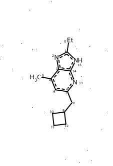 CCc1nc2c(C)cc(CC3CCC3)nc2[nH]1